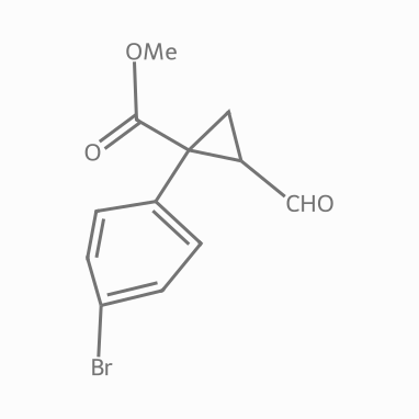 COC(=O)C1(c2ccc(Br)cc2)CC1C=O